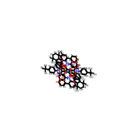 Cc1cc(-c2ccccc2)c(N2c3ccc(C(C)(C)Cc4cccc(-c5cccc(-c6ccccc6)c5N5c6ccc(C(C)(C)C)cc6B6c7oc8cc9c(cc8c7N(c7ccc(C(C)(C)C)cc7)c7cc(C)cc5c76)C(C)(C)CCC9(C)C)c4)cc3B3c4oc5cc6c(cc5c4N(c4ccc(C(C)(C)C)cc4)c4cc(C)cc2c43)C(C)(C)CCC6(C)C)c(-c2ccccc2)c1